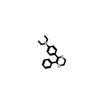 CCN(CC)c1ccc(C2=C(c3ccccc3)OCCS2)cc1